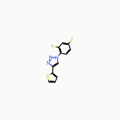 Fc1ccc(-n2cc(-c3cccs3)nn2)c(F)c1